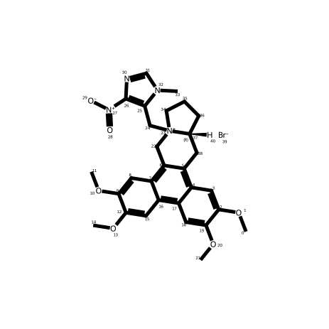 COc1cc2c3c(c4cc(OC)c(OC)cc4c2cc1OC)C[N+]1(Cc2c([N+](=O)[O-])ncn2C)CCC[C@@H]1C3.[Br-]